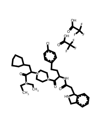 CCN(CC)C(=O)C(CC1CCCCC1)N1CCN(C(=O)C(CCc2ccc(Cl)cc2)NC(=O)CC2NCc3ccccc32)CC1.O=C(O)C(F)(F)F.O=C(O)C(F)(F)F